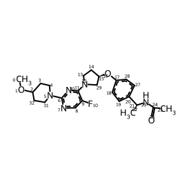 COC1CCN(c2ncc(F)c(N3CC[C@@H](Oc4ccc([C@H](C)NC(C)=O)cc4)C3)n2)CC1